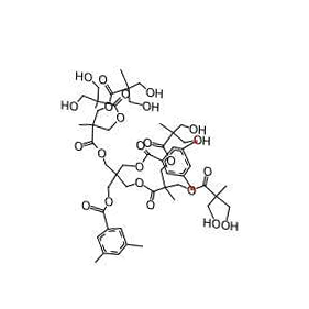 Cc1cc(C)cc(C(=O)OCC(COC(=O)c2cc(C)cc(C)c2)(COC(=O)C(C)(COC(=O)C(C)(CO)CO)COC(=O)C(C)(CO)CO)COC(=O)C(C)(COC(=O)C(C)(CO)CO)COC(=O)C(C)(CO)CO)c1